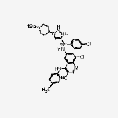 Cc1ccc(Nc2c(C#N)cnc3c(Cl)cc(N[C@H](C4=CN(C5CCN(C(C)(C)C)CC5)NN4)c4ccc(Cl)cc4)cc23)cc1